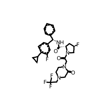 O=C(N[C@@H](c1ccccc1)c1ccc(C2CC2)c(F)c1)[C@@H]1C[C@@H](F)CN1C(=O)CN1CCN(CC(F)(F)F)CC1=O